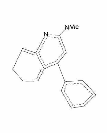 CNc1cc(-c2ccccc2)c2c(n1)=CCCC=2